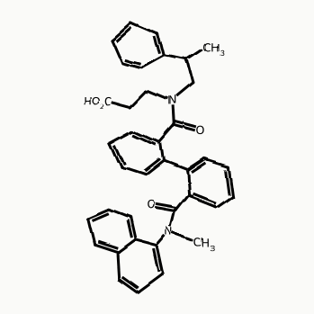 CC(CN(CCC(=O)O)C(=O)c1ccccc1-c1ccccc1C(=O)N(C)c1cccc2ccccc12)c1ccccc1